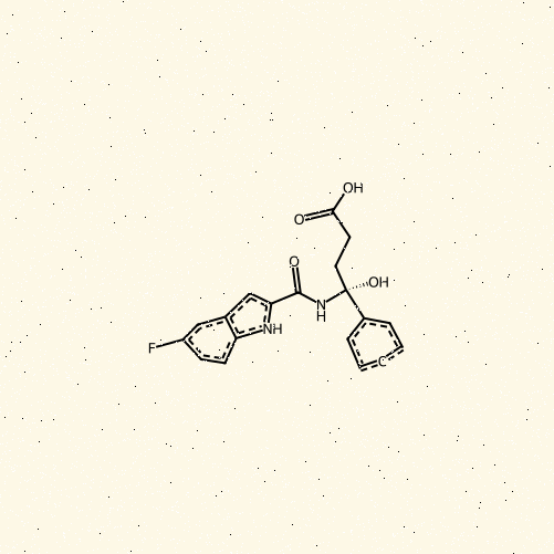 O=C(O)CC[C@](O)(NC(=O)c1cc2cc(F)ccc2[nH]1)c1ccccc1